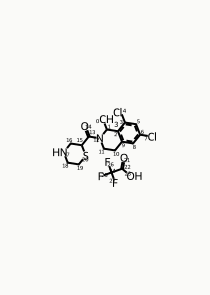 CC1c2c(Cl)cc(Cl)cc2CCN1C(=O)C1CNCCS1.O=C(O)C(F)(F)F